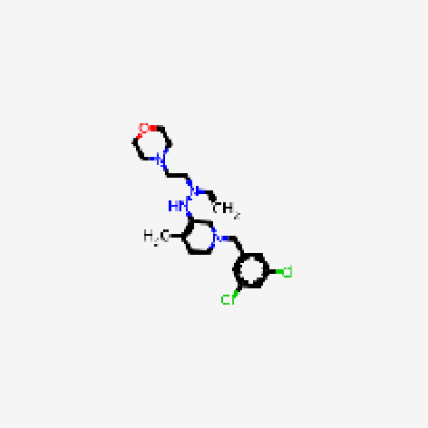 C=CN(CCN1CCOCC1)NC1=C(C)CCN(Cc2cc(Cl)cc(Cl)c2)C1